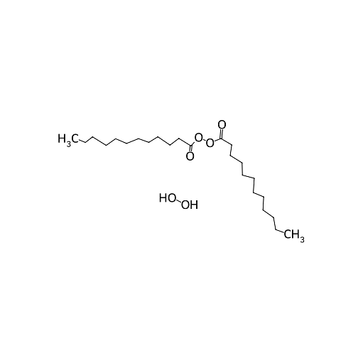 CCCCCCCCCCCC(=O)OOC(=O)CCCCCCCCCCC.OO